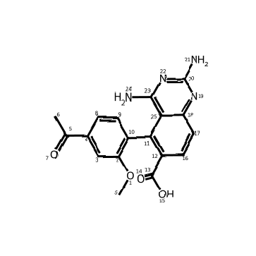 COc1cc(C(C)=O)ccc1-c1c(C(=O)O)ccc2nc(N)nc(N)c12